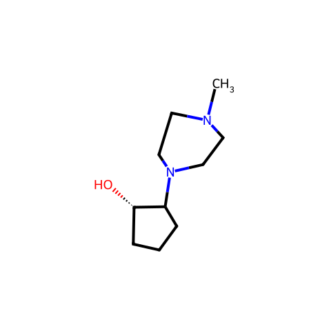 CN1CCN(C2CCC[C@@H]2O)CC1